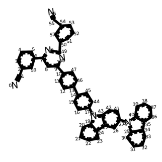 N#Cc1cccc(-c2cc(-c3ccc(-c4ccc(-n5c6ccccc6c6cc(-n7c8ccccc8c8ccccc87)ccc65)cc4)cc3)nc(-c3cccc(C#N)c3)n2)c1